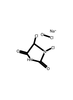 O=C1NC(=O)N(Cl)C1Cl.[Na+].[O-]Cl